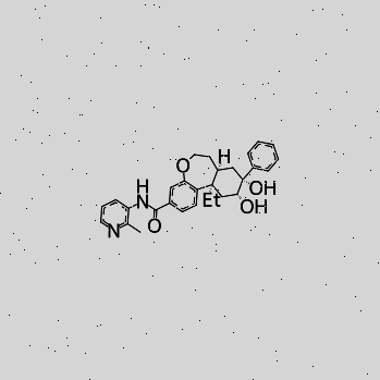 CC[C@@]12C[C@@H](O)[C@](O)(c3ccccc3)C[C@@H]1CCOc1cc(C(=O)Nc3cccnc3C)ccc12